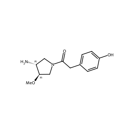 CO[C@@H]1CN(C(=O)Cc2ccc(O)cc2)C[C@H]1N